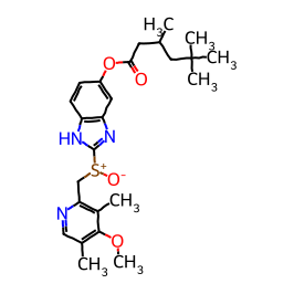 COc1c(C)cnc(C[S+]([O-])c2nc3cc(OC(=O)CC(C)CC(C)(C)C)ccc3[nH]2)c1C